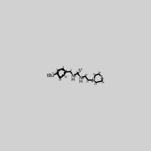 CC(C)(C)c1ccc(CNC(=S)NCCN2CCSCC2)cc1